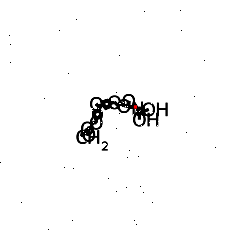 C=CC(=O)OCCOc1ccc(C(=O)c2ccc(OCCOC(=O)CCN(CCO)CCO)cc2)cc1